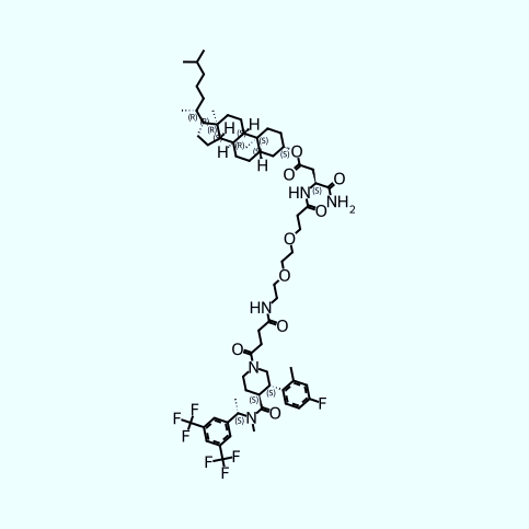 Cc1cc(F)ccc1[C@H]1CN(C(=O)CCC(=O)NCCOCCOCCC(=O)N[C@@H](CC(=O)O[C@H]2CC[C@@]3(C)[C@@H](CC[C@@H]4[C@@H]3CC[C@]3(C)[C@@H]([C@H](C)CCCC(C)C)CC[C@@H]43)C2)C(N)=O)CC[C@@H]1C(=O)N(C)[C@@H](C)c1cc(C(F)(F)F)cc(C(F)(F)F)c1